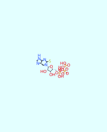 O=P(O)(O)OP(=O)(O)OP(=O)(O)OC[C@H]1O[C@@H](n2cc3nc[nH]c3nc2=S)[C@@H](O)C1O